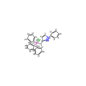 BrP(Cc1ccn(-c2ccccc2)n1)(c1ccccc1)(c1ccccc1)c1ccccc1